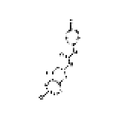 O=C(Nc1ccc(Cl)cc1)NC(CO)Cc1ccc(Cl)cc1